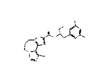 NCC(Cc1cc(F)cc(F)c1)NC(=O)c1cc2c(s1)CCCn1ncc(Br)c1-2